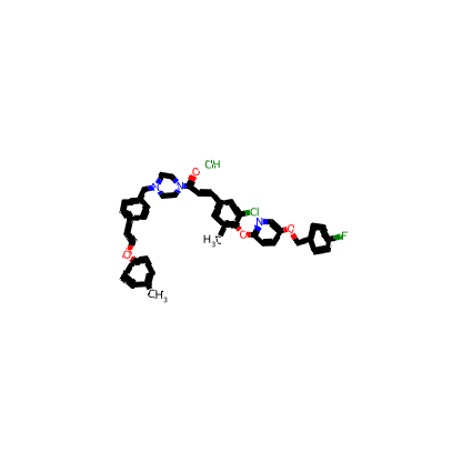 Cc1ccc(OCCc2ccc(CN3CCN(C(=O)C=Cc4cc(C)c(Oc5ccc(OCc6ccc(F)cc6)cn5)c(Cl)c4)CC3)cc2)cc1.Cl